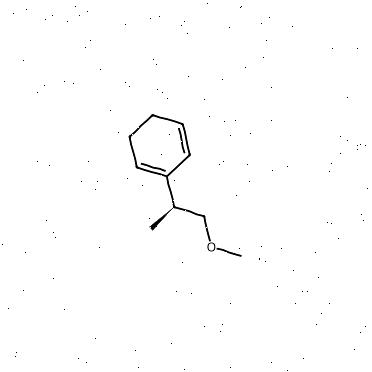 COC[C@@H](C)C1=CCCC=C1